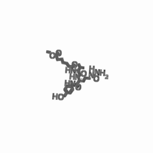 CCOC(=O)CCCCCC(=O)N[C@H](C(=O)N[C@@H](CCCNC(N)=O)C(=O)Nc1ccc(CO)cc1)C(C)C